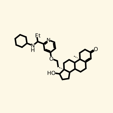 CCC(NC1CCCCC1)c1cc(OCC[C@]23CCC4C(CCC5=CC(=O)CC[C@@]54C)C2CCC3O)ccn1